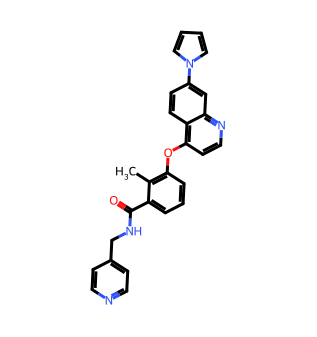 Cc1c(Oc2ccnc3cc(-n4cccc4)ccc23)cccc1C(=O)NCc1ccncc1